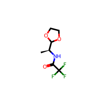 C[C@H](NC(=O)C(F)(F)F)C1OCCO1